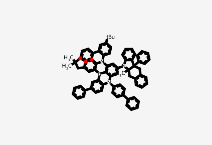 CC1(C)Cc2cc3c(cc2C1)N(c1ccc(C(C)(C)C)cc1-c1ccccc1)c1cc(N2c4ccccc4C4(c5ccccc5)Cc5ccccc5CC24C)cc2c1B3c1cc(-c3ccccc3)ccc1N2c1ccc(-c2ccccc2)cc1